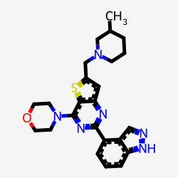 CC1CCCN(Cc2cc3nc(-c4cccc5[nH]ncc45)nc(N4CCOCC4)c3s2)C1